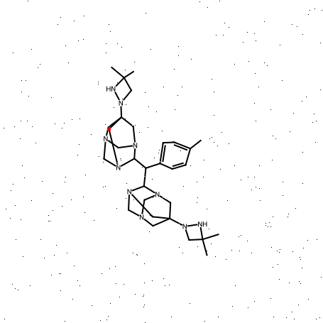 Cc1ccc(C(C2N3CN4CN2CC(N2CC(C)(C)N2)(C4)C3)C2N3CN4CN2CC(N2CC(C)(C)N2)(C4)C3)cc1